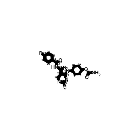 NC(=O)OC1CCC(n2nc(NC(=O)c3ccc(F)cc3)c3cnc(Cl)nc32)CC1